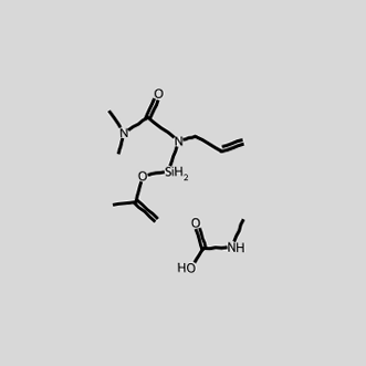 C=CCN([SiH2]OC(=C)C)C(=O)N(C)C.CNC(=O)O